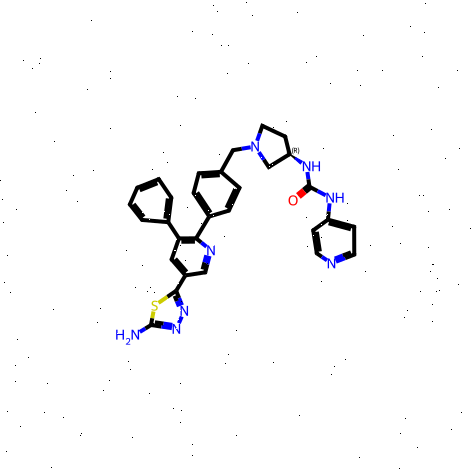 Nc1nnc(-c2cnc(-c3ccc(CN4CC[C@@H](NC(=O)Nc5ccncc5)C4)cc3)c(-c3ccccc3)c2)s1